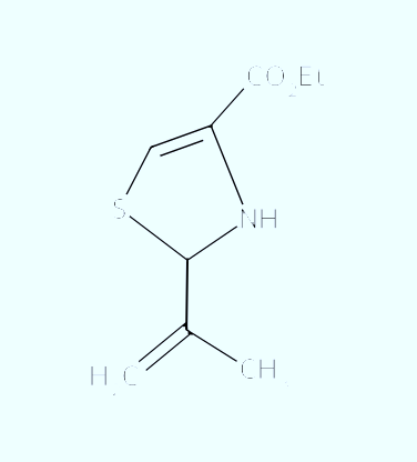 C=C(C)C1NC(C(=O)OCC)=CS1